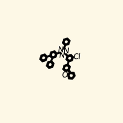 Clc1cc(-c2ccc3oc4ccccc4c3c2)cc(-c2nc(-c3ccccc3)nc(-c3ccc(-c4ccccc4)c(-c4ccccc4)c3)n2)c1